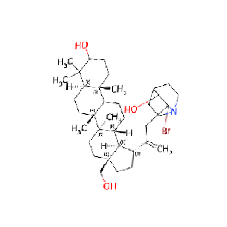 C=C(CC1(Br)C(O)C2CCN1CC2)[C@@H]1CC[C@]2(CO)CC[C@]3(C)[C@H](CCC4[C@@]5(C)CCC(O)C(C)(C)[C@@H]5CC[C@]43C)[C@@H]12